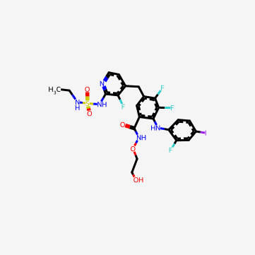 CCNS(=O)(=O)Nc1nccc(Cc2cc(C(=O)NOCCO)c(Nc3ccc(I)cc3F)c(F)c2F)c1F